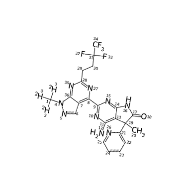 [2H]C([2H])([2H])n1ncc2c(-c3nc(N)c4c(n3)NC(=O)C4(C)c3ccccn3)nc(CCC(F)(F)C(F)(F)F)nc21